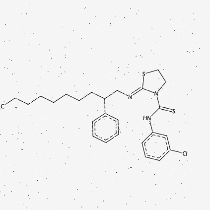 CCCCCCCCC(CN=C1SCCN1C(=S)Nc1cccc(Cl)c1)c1ccccc1